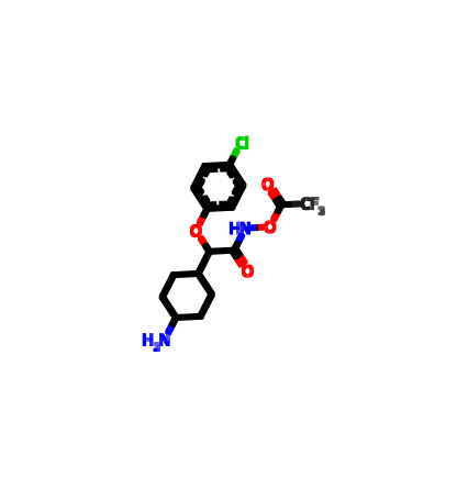 NC1CCC(C(Oc2ccc(Cl)cc2)C(=O)NOC(=O)C(F)(F)F)CC1